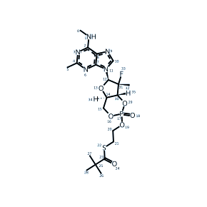 CNc1nc(C)nc2c1ncn2[C@@H]1O[C@@H]2COP(=O)(OCCSC(=O)C(C)(C)C)O[C@H]2[C@@]1(C)F